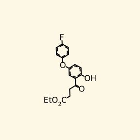 CCOC(=O)CCC(=O)c1cc(Oc2ccc(F)cc2)ccc1O